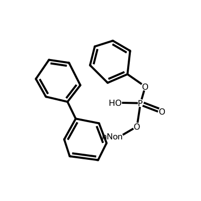 CCCCCCCCCOP(=O)(O)Oc1ccccc1.c1ccc(-c2ccccc2)cc1